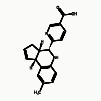 Cc1ccc2c(c1)[C@@H]1C=CC[C@@H]1[C@H](c1ccc(C(=O)O)cn1)N2